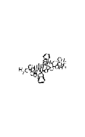 CC(C)CC(NC(=O)[C@@H](Cc1ccccc1)NC(=O)C1(NC(=O)OC(C)(C)C)Cc2ccccc2C1)C(=O)O